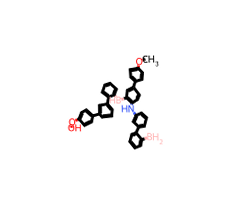 Bc1ccccc1-c1cccc(Nc2ccc(-c3ccc(OC)cc3)cc2Bc2ccccc2-c2cccc(-c3ccc(OO)cc3)c2)c1